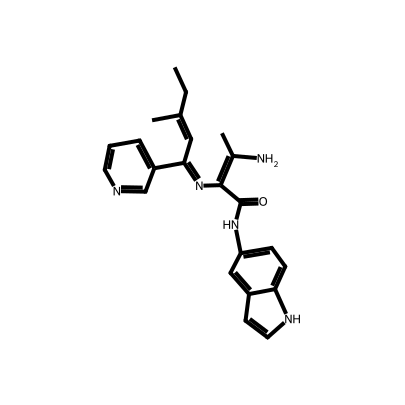 CC/C(C)=C/C(=N\C(C(=O)Nc1ccc2[nH]ccc2c1)=C(/C)N)c1cccnc1